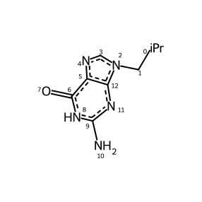 [CH2]C([CH2])Cn1cnc2c(=O)[nH]c(N)nc21